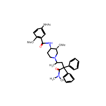 COc1ccc(NC(C)=O)cc1C(=O)N[C@@H]1CCN(C(C)CC(C(=O)N(C)C)(c2ccccc2)c2ccccc2)C[C@@H]1OC